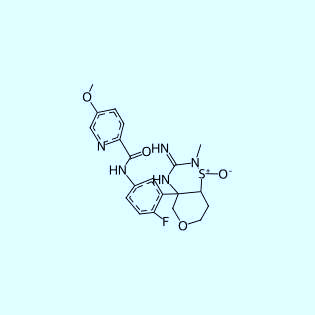 COc1ccc(C(=O)Nc2ccc(F)c(C34COCCC3[S+]([O-])N(C)C(=N)N4)c2)nc1